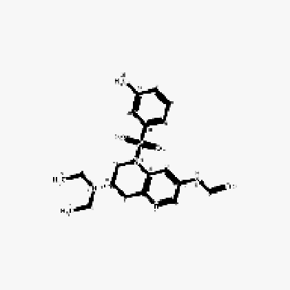 CCN(CC)[C@H]1Cc2ncc(NC=O)cc2N(S(=O)(=O)c2cccc(C)c2)C1